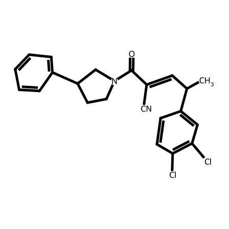 CC(/C=C(\C#N)C(=O)N1CCC(c2ccccc2)C1)c1ccc(Cl)c(Cl)c1